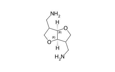 NCC1CO[C@@H]2C(CN)CO[C@H]12